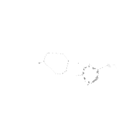 CC(C)c1cnc(O[C@H]2CCC[C@H](C(=O)O)C2)c(Cl)n1